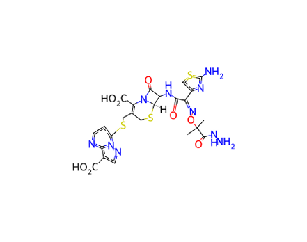 CC(C)(O/N=C(\C(=O)NC1C(=O)N2C(C(=O)O)=C(CSc3ccnc4c(C(=O)O)cnn34)CS[C@H]12)c1csc(N)n1)C(=O)NN